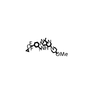 COC1CCN(c2cnc3c(C)nnc(N[C@H](C)c4cccc(C(F)(F)OC5CC5)c4)c3c2)CC1